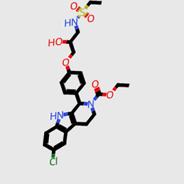 CCOC(=O)N1CCc2c([nH]c3ccc(Cl)cc23)C1c1ccc(OCC(O)CNS(=O)(=O)CC)cc1